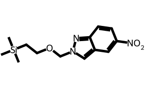 C[Si](C)(C)CCOCn1cc2cc([N+](=O)[O-])ccc2n1